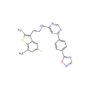 Cc1sc2c(C)cc(F)cc2c1CCNc1cc(-c2ccc(-c3ncno3)cc2)ncn1